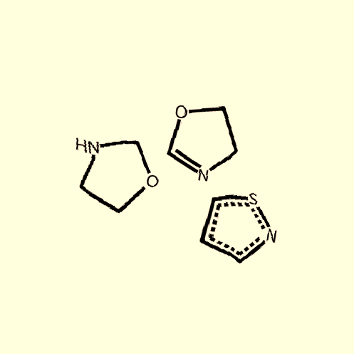 C1=NCCO1.C1COCN1.c1cnsc1